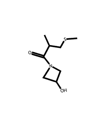 CSCC(C)C(=O)N1CC(O)C1